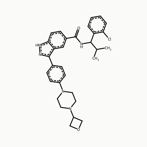 CC(C)C(NC(=O)c1ccc2[nH]nc(-c3ccc(N4CCN(C5COC5)CC4)cc3)c2c1)c1ccccc1Cl